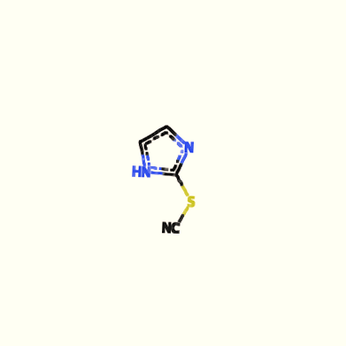 N#CSc1ncc[nH]1